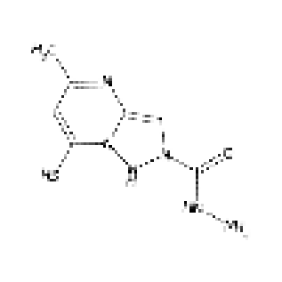 CC1=NC2=CN(C(=O)NN)NN2C(S)=C1